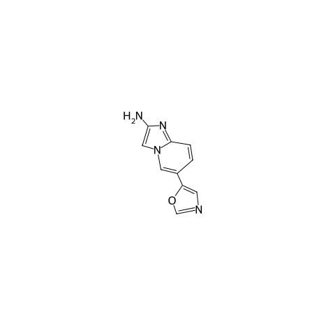 Nc1cn2cc(-c3cnco3)ccc2n1